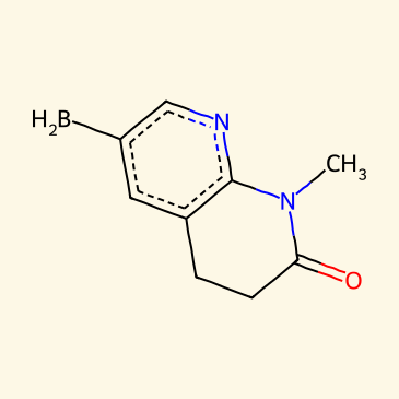 Bc1cnc2c(c1)CCC(=O)N2C